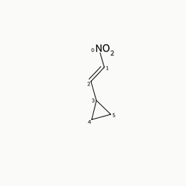 O=[N+]([O-])/C=C/C1CC1